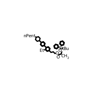 C=C(CO[Si](c1ccccc1)(c1ccccc1)C(C)(C)C)C(=O)OCCCc1ccc(-c2ccc(C3CCC(CCCCC)CC3)cc2)c(CC)c1